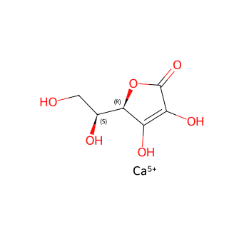 O=C1O[C@H]([C@@H](O)CO)C(O)=C1O.[Ca+5]